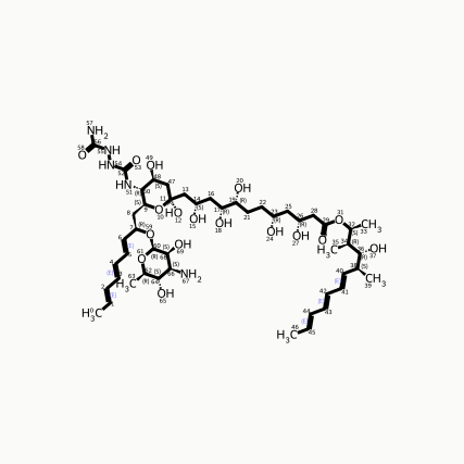 C/C=C/C=C/C=C/[C@@H](C[C@@H]1O[C@](O)(C[C@@H](O)C[C@@H](O)[C@H](O)CC[C@@H](O)C[C@@H](O)CC(=O)O[C@@H](C)[C@H](C)[C@H](O)[C@@H](C)/C=C/C=C/C=C/C)C[C@H](O)[C@H]1NC(=O)NNC(N)=O)O[C@@H]1O[C@H](C)[C@@H](O)[C@H](N)[C@@H]1O